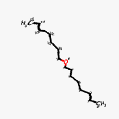 CCCCCCCCOCCCCCCC